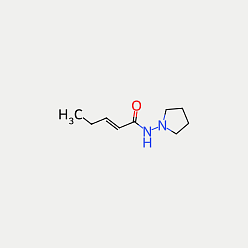 CCC=CC(=O)NN1CCCC1